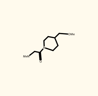 CNCC(=O)N1CCC(COC)CC1